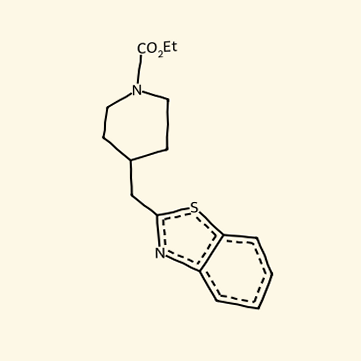 CCOC(=O)N1CCC(Cc2nc3ccccc3s2)CC1